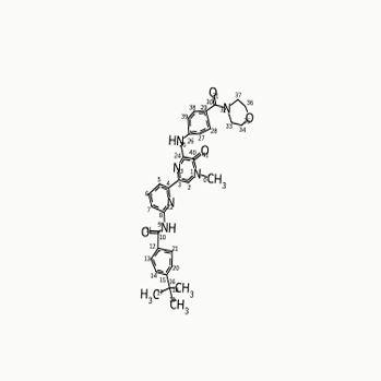 Cn1cc(-c2cccc(NC(=O)c3ccc(C(C)(C)C)cc3)n2)nc(Nc2ccc(C(=O)N3CCOCC3)cc2)c1=O